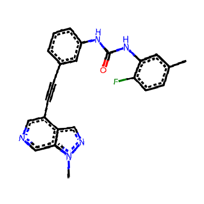 Cc1ccc(F)c(NC(=O)Nc2cccc(C#Cc3cncc4c3cnn4C)c2)c1